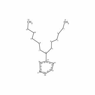 CCCCCCC(CCCCCC)c1cccnc1